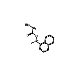 C[C@@H](OC(=O)NC(C)(C)C)c1cccc2ccccc12